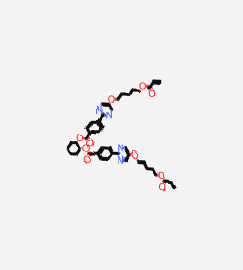 C=CC(=O)OCCCCCOc1cnc(-c2ccc(C(=O)O[C@@H]3CCCC[C@H]3OC(=O)c3ccc(-c4ncc(OCCCCCOC(=O)C=C)cn4)cc3)cc2)nc1